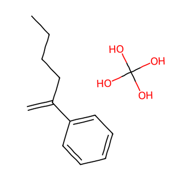 C=C(CCCC)c1ccccc1.OC(O)(O)O